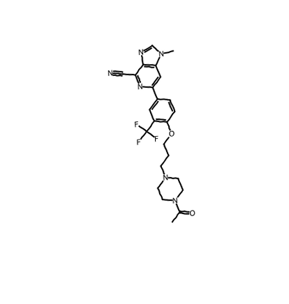 CC(=O)N1CCN(CCCOc2ccc(-c3cc4c(ncn4C)c(C#N)n3)cc2C(F)(F)F)CC1